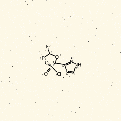 O=S(=O)(Cl)C(OC(F)F)c1cc[nH]n1